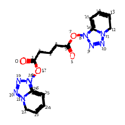 O=C(CCCC(=O)ON1N=NN2CC=CC=C21)ON1N=NN2CC=CC=C21